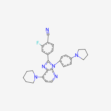 N#Cc1ccc(-c2nc3c(N4CCCCC4)ccnc3n2-c2ccc(N3CCCC3)cc2)cc1F